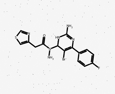 NC1=NC(c2ccc(F)cc2)=C(Br)C(N(N)C(=O)Cc2cscn2)N1